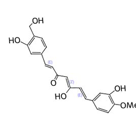 COc1ccc(/C=C/C(O)=C/C(=O)/C=C/c2ccc(CO)c(O)c2)cc1O